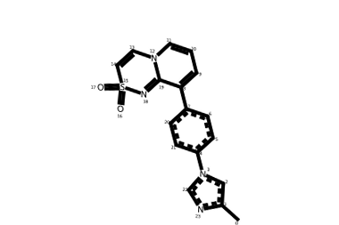 Cc1cn(-c2ccc(C3=CC=CN4C=CS(=O)(=O)N=C34)cc2)cn1